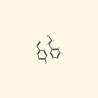 C=Cc1ccc(C)cc1.ClC=Cc1ccccc1